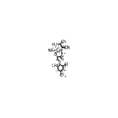 CC(C)(C)[Si](C)(C)Oc1cn(-c2c(Cl)cc(C(F)(F)F)cc2Cl)nc1/C=N/C(C#N)=C(\N)C#N